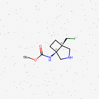 CC(C)(C)OC(=O)N[C@@]12CC[C@]1(CF)CNC2